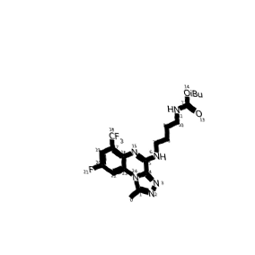 Cc1nnc2c(NCCCCNC(=O)OCC(C)C)nc3c(C(F)(F)F)cc(F)cc3n12